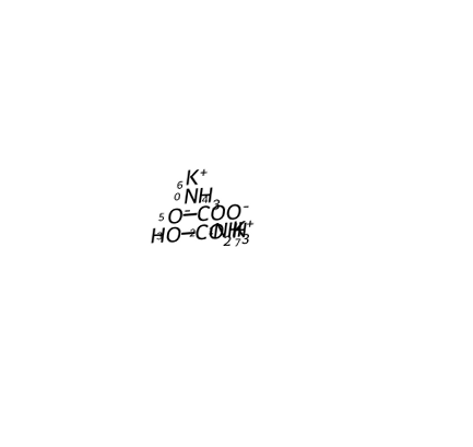 N.N.O=C(O)O.O=C([O-])[O-].[K+].[K+]